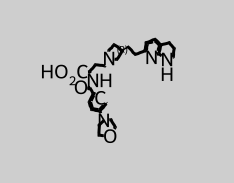 O=C(NC(CCN1CC[C@@H](CCc2ccc3c(n2)NCCC3)C1)C(=O)O)c1ccc(N2CCOCC2)cc1